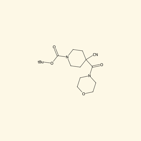 CC(C)(C)OC(=O)N1CCC(C#N)(C(=O)N2CCOCC2)CC1